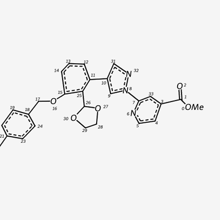 COC(=O)c1ccnc(-n2cc(-c3cccc(OCc4ccc(OC)cc4)c3C3OCCO3)cn2)c1